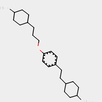 CCCCCCCC1CCC(CCc2ccc(OCCCC3CCC(CCCCCC)CC3)cc2)CC1